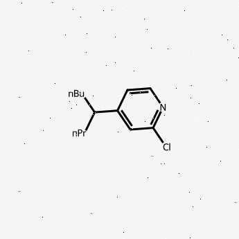 CCCCC(CCC)c1ccnc(Cl)c1